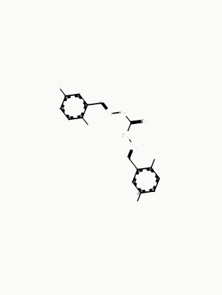 N=C(N/N=C/c1cc(F)ccc1F)N/N=C/c1cc(F)ccc1F